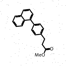 COC(=O)CCc1ccc(-c2cccc3ccccc23)cc1